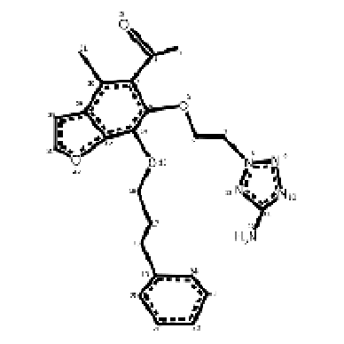 CC(=O)c1c(OCCn2nnc(N)n2)c(OCCCc2ccccc2)c2occc2c1C